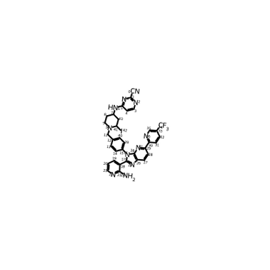 N#Cc1nccc(NC2CCN(Cc3ccc(-n4c(-c5cccnc5N)nc5ccc(-c6ccc(C(F)(F)F)cn6)nc54)cc3)C(I)C2)n1